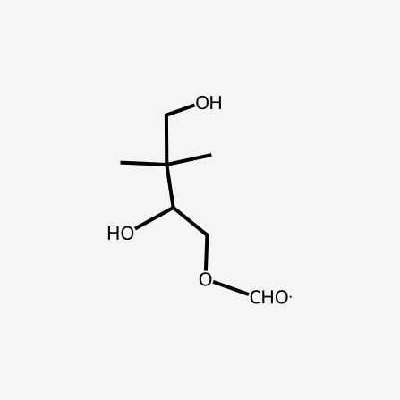 CC(C)(CO)C(O)CO[C]=O